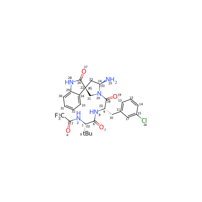 CC(C)(C)[C@H](NC(=O)C(F)(F)F)C(=O)N[C@@H](Cc1cccc(Cl)c1)C(=O)N1C[C@]2(C[C@H]1N)C(=O)Nc1ccccc12